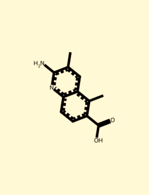 Cc1cc2c(C)c(C(=O)O)ccc2nc1N